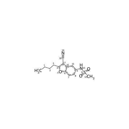 CCCCc1oc2ccc(NS(C)(=O)=O)cc2c1C#N